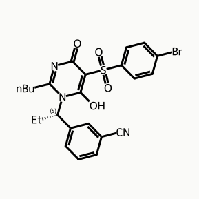 CCCCc1nc(=O)c(S(=O)(=O)c2ccc(Br)cc2)c(O)n1[C@@H](CC)c1cccc(C#N)c1